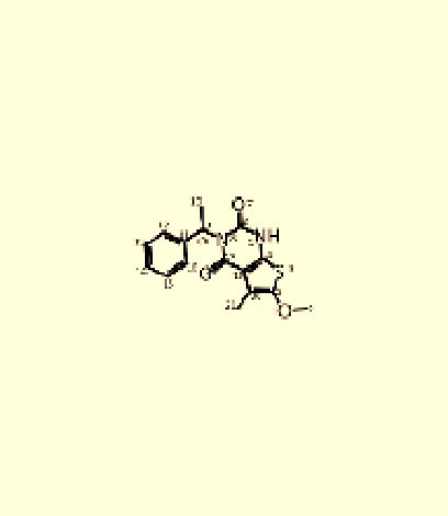 COc1sc2[nH]c(=O)n([C@H](C)c3ccccc3)c(=O)c2c1C